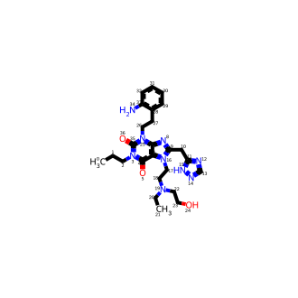 CCCn1c(=O)c2c(nc(Cc3ncn[nH]3)n2CCN(CC)CCO)n(CCc2ccccc2N)c1=O